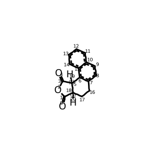 O=C1OC(=O)[C@@H]2c3c(ccc4ccccc34)CC[C@H]12